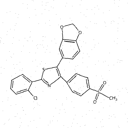 CS(=O)(=O)c1ccc(-c2nc(-c3ccccc3Cl)sc2-c2ccc3c(c2)OCO3)cc1